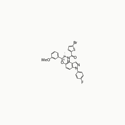 COc1cccc([C@H](Oc2ccc3c(cnn3-c3ccc(F)cc3)c2)[C@H](C)NC(=O)c2ccc(Br)s2)c1